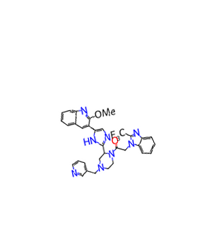 COc1nc2ccccc2cc1-c1cnc(C2CN(Cc3cccnc3)CCN2C(=O)Cn2c(C(F)(F)F)nc3ccccc32)[nH]1